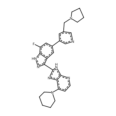 Fc1cc(-c2cncc(CN3CCCC3)c2)cc2c(-c3nc4c(N5CCCCC5)ccnc4[nH]3)n[nH]c12